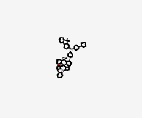 CC1(C)c2ccccc2-c2ccc(N(c3ccc(-c4ccccc4)cc3)c3ccc(-c4cccc5c4[Si](C)(C)c4ccccc4C54c5ccccc5-n5c6ccccc6c6cccc4c65)cc3)cc21